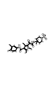 Cc1cc(NC(=O)c2c(C)c(C(=O)C(=O)NC3(C)CCN(S(C)(=O)=O)CC3)n(C)c2C)ccc1F